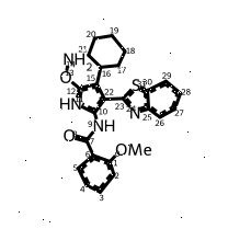 COc1ccccc1C(=O)Nc1[nH]c(ON)c(C2CCCCC2)c1-c1nc2ccccc2s1